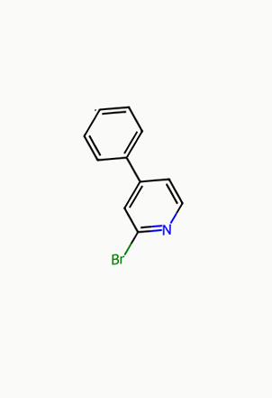 Brc1cc(-c2cc[c]cc2)ccn1